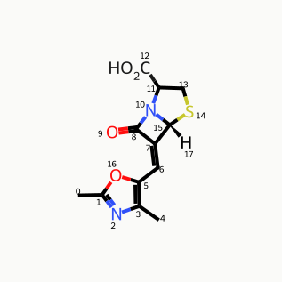 Cc1nc(C)c(C=C2C(=O)N3C(C(=O)O)CS[C@H]23)o1